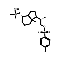 Cc1ccc(S(=O)(=O)OC[C@@H](C)C2CCC3[C@@H](O[Si](C)(C)C(C)(C)C)CCCC23C)cc1